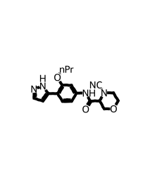 CCCOc1cc(NC(=O)C2COCCN2C#N)ccc1-c1ccn[nH]1